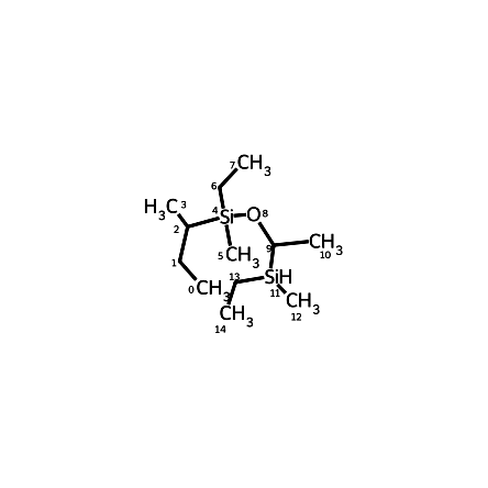 CCC(C)[Si](C)(CC)OC(C)[SiH](C)CC